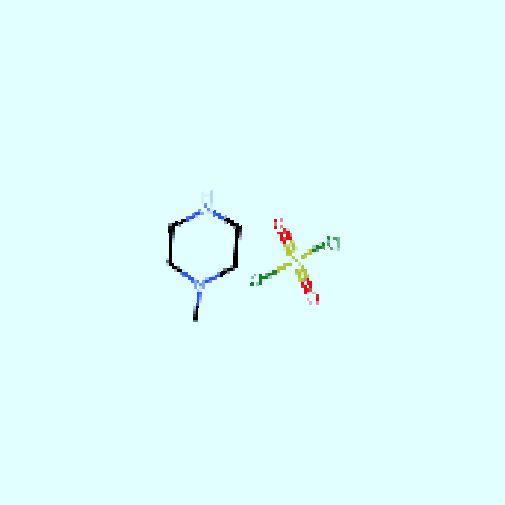 CN1CCNCC1.O=S(=O)(Cl)Cl